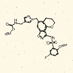 COc1ccc(F)cc1S(=O)(=O)Nc1noc2cc(Cn3cc(CNC(=O)OC(C)(C)C)cn3)c3c(c12)OCCC3